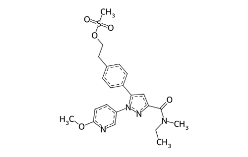 CCN(C)C(=O)c1cc(-c2ccc(CCOS(C)(=O)=O)cc2)n(-c2ccc(OC)nc2)n1